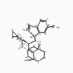 C[C@H](CN1[C@@H]2CCC[C@H]1C[C@@H](OCC1CC1)C2)Cn1ncc2ccc(F)cc21